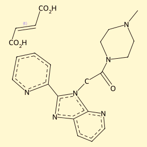 CN1CCN(C(=O)Cn2c(-c3ccccn3)nc3cccnc32)CC1.O=C(O)/C=C/C(=O)O